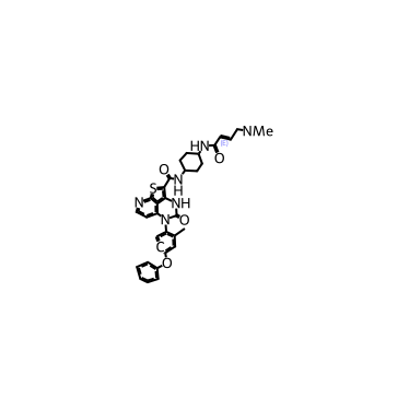 CNC/C=C/C(=O)NC1CCC(NC(=O)c2sc3nccc4c3c2NC(=O)N4c2ccc(Oc3ccccc3)cc2C)CC1